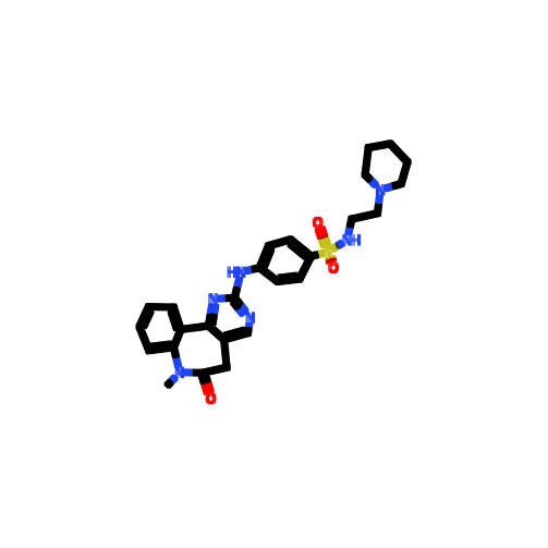 CN1C(=O)Cc2cnc(Nc3ccc(S(=O)(=O)NCCN4CCCCC4)cc3)nc2-c2ccccc21